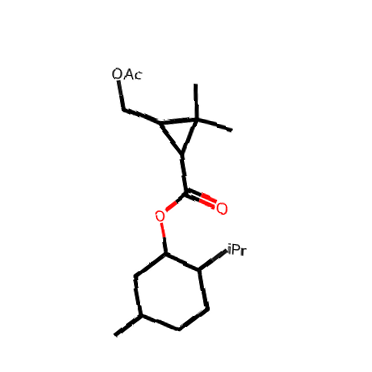 CC(=O)OCC1C(C(=O)OC2CC(C)CCC2C(C)C)C1(C)C